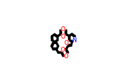 C1=CCCC(CC2=COC=C(c3cc4nccc(C5=COC=C(C6=CC=CCC6)O5)c4o3)O2)=C1